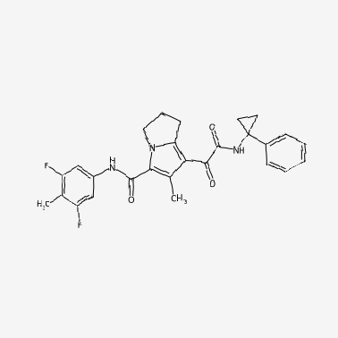 Cc1c(F)cc(NC(=O)c2c(C)c(C(=O)C(=O)NC3(c4ccccc4)CC3)c3n2CCC3)cc1F